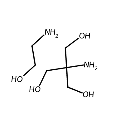 NC(CO)(CO)CO.NCCO